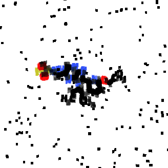 CCOc1cccc(-c2nc3ncc(CN[SH](=O)=O)nc3n2C(CC)CC)n1